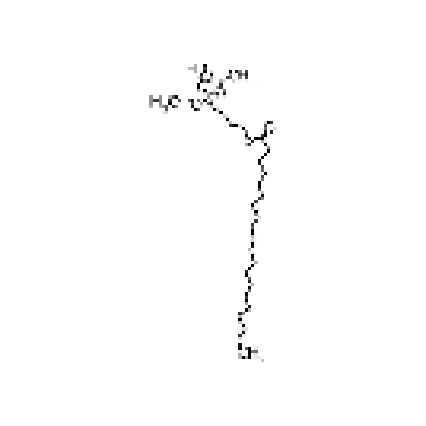 CCCCCCCCCCCCCCCCCCCC(=O)SCCCC[Si](OCC)(OCC)OCC